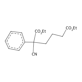 CCOC(=O)CCCC(C#N)(C(=O)OCC)c1ccccc1